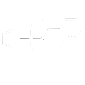 C=CCN(C(=O)c1ccccc1OC)S(=O)(=O)c1cccs1